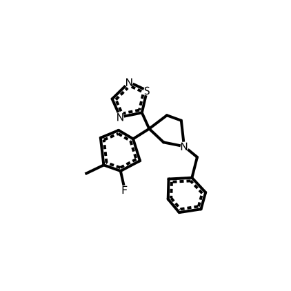 Cc1ccc(C2(c3ncns3)CCN(Cc3ccccc3)C2)cc1F